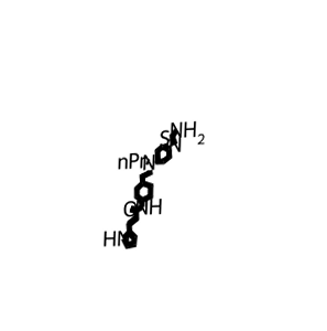 CCCN(CCC1CCC(NC(=O)/C=C/c2ccc[nH]2)CC1)[C@H]1CCc2nc(N)sc2C1